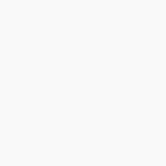 CCCOc1ccc(-c2cc(F)ccc2F)cc1C(=O)O